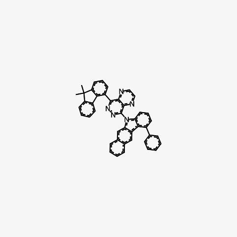 CC1(C)c2ccccc2-c2c(-c3nnc(-n4c5cc6ccccc6cc5c5c(-c6ccccc6)cccc54)c4nccnc34)cccc21